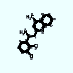 Cc1cc(CC(N)c2cccc(Cl)c2Cl)nc2ccccc12